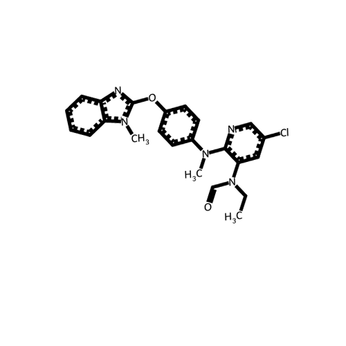 CCN(C=O)c1cc(Cl)cnc1N(C)c1ccc(Oc2nc3ccccc3n2C)cc1